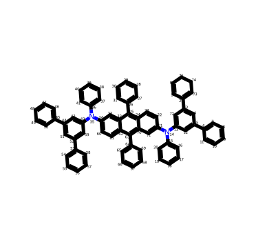 C1=CC(c2cc(-c3ccccc3)cc(N(c3ccccc3)c3ccc4c(-c5ccccc5)c5cc(N(c6ccccc6)c6cc(-c7ccccc7)cc(-c7ccccc7)c6)ccc5c(-c5ccccc5)c4c3)c2)=CCC1